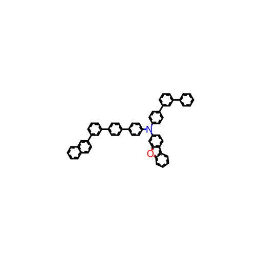 c1ccc(-c2cccc(-c3ccc(N(c4ccc(-c5ccc(-c6cccc(-c7ccc8ccccc8c7)c6)cc5)cc4)c4ccc5c(c4)oc4ccccc45)cc3)c2)cc1